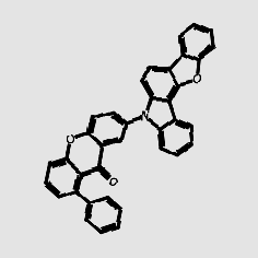 O=c1c2cc(-n3c4ccccc4c4c5oc6ccccc6c5ccc43)ccc2oc2cccc(-c3ccccc3)c12